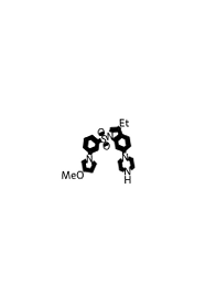 CCc1cn(S(=O)(=O)c2cccc(N3CC[C@H](OC)C3)c2)c2cc(N3CCNCC3)ccc12